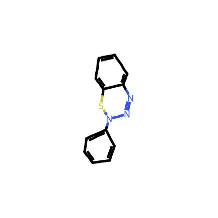 c1ccc(N2N=Nc3ccccc3S2)cc1